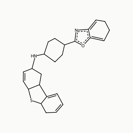 C1=CCC2SC3C=CC(NC4CCC(c5nc6c(o5)=CCCC=6)CC4)CC3C2=C1